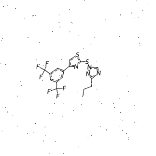 CCCc1ncn(Sc2nc(-c3cc(C(F)(F)F)cc(C(F)(F)F)c3)cs2)n1